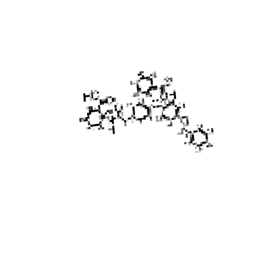 CC1(NC(=O)Cc2ccc(Oc3ccc(OCc4ccccc4)cc3)cc2)C=CC=CC1C(=O)O.O=C(O)c1ccccc1